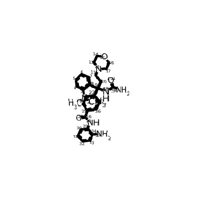 CN(C)c1ccccc1C(CCN1CCOCC1)(NC(N)=O)c1ccc(C(=O)Nc2ccccc2N)cc1